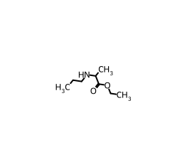 CCCNC(C)C(=O)OCC